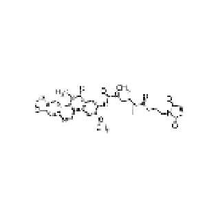 COc1cc2c(cc1OC(=O)N(C)CCNC(=O)CCCN1C(=O)C=CC1=O)c(=O)n(C)c1c3cc4c(cc3ncc21)OCO4